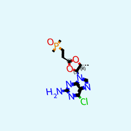 C[C@H]1O[C@H](CCP(C)(C)=O)O[C@@H]1n1cnc2c(Cl)nc(N)nc21